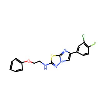 Fc1ccc(-c2cn3nc(NCCOc4ccccc4)sc3n2)cc1Cl